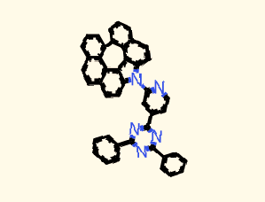 c1ccc(-c2nc(-c3ccccc3)nc(-c3ccnc(-n4c5ccc6cccc7c6c5c5c6c(ccc8cccc-7c86)ccc54)c3)n2)cc1